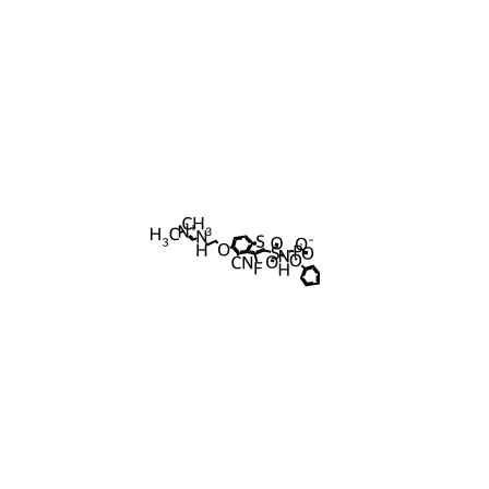 C[N+](C)=CNCCOc1ccc2sc(S(=O)(=O)NCP(=O)([O-])Oc3ccccc3)c(F)c2c1C#N